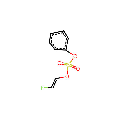 O=S(=O)(OC=CF)Oc1ccccc1